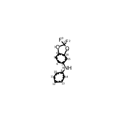 FC1(F)Oc2ccc(Nc3[c]cccc3)cc2O1